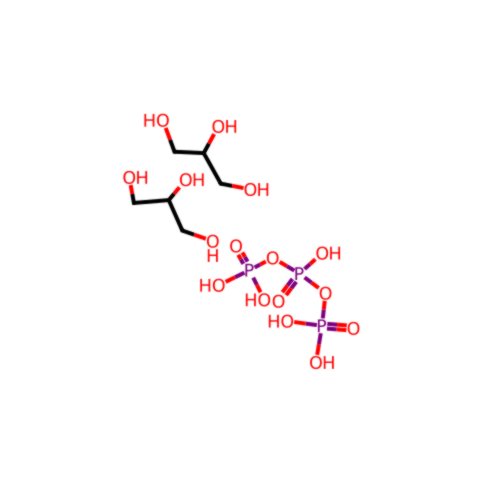 O=P(O)(O)OP(=O)(O)OP(=O)(O)O.OCC(O)CO.OCC(O)CO